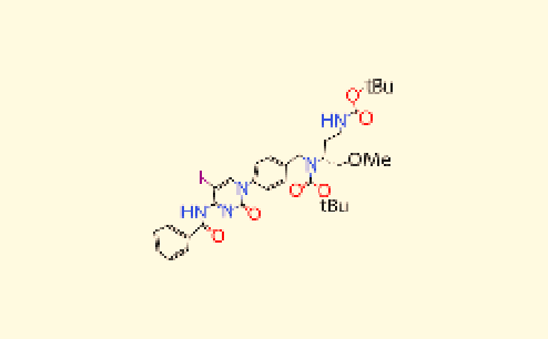 COC[C@@H](CCNC(=O)OC(C)(C)C)N(Cc1ccc(-n2cc(I)c(NC(=O)c3ccccc3)nc2=O)cc1)C(=O)OC(C)(C)C